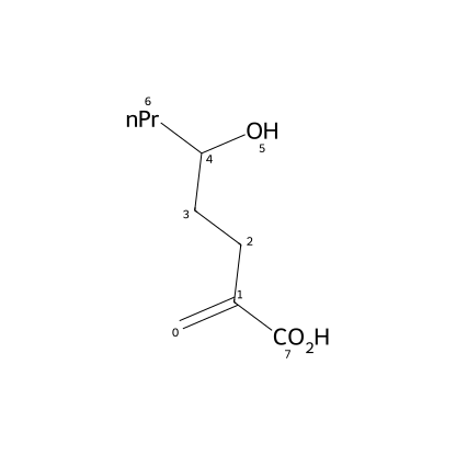 C=C(CCC(O)CCC)C(=O)O